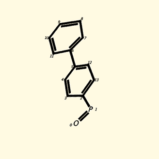 O=Pc1ccc(-c2ccccc2)cc1